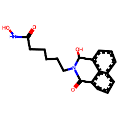 O=C(CCCCCN1C(=O)c2cccc3cccc(c23)C1O)NO